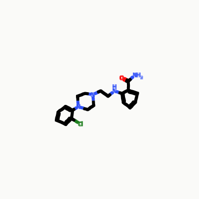 NC(=O)c1ccccc1NCCN1CCN(c2ccccc2Cl)CC1